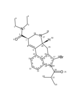 CCN(CC)C(=O)[C@@H]1C=C2c3cccc4c3c(c(Br)n4C(=O)C(C)C)C[C@H]2N(C)C1